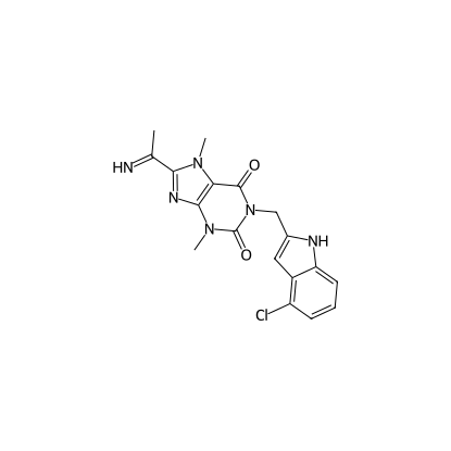 CC(=N)c1nc2c(c(=O)n(Cc3cc4c(Cl)cccc4[nH]3)c(=O)n2C)n1C